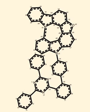 c1ccc(-c2nc(-c3ccccc3)nc(-c3ccccc3-c3ccc(-n4c5ccc6oc7ccc8c9ccccc9n9c%10cccc4c%10c5c6c7c89)cc3)n2)cc1